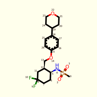 CS(=O)(=O)N[C@H]1CCC(F)(F)C[C@H]1COc1ccc(C2CCOCC2)cc1